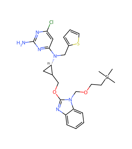 C[Si](C)(C)CCOCn1c(OCC2C[C@@H]2N(Cc2cccs2)c2cc(Cl)nc(N)n2)nc2ccccc21